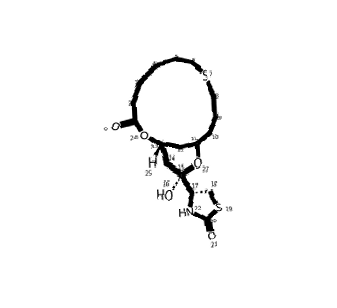 O=C1CCCCCSCCCC2C[C@H](C[C@](O)([C@@H]3CSC(=O)N3)O2)O1